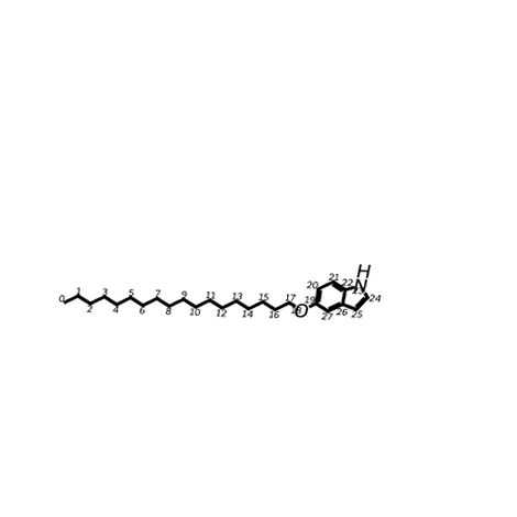 CCCCCCCCCCCCCCCCCCOc1ccc2[nH]ccc2c1